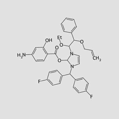 C=CCOC(c1ccccc1)C(OCC)N1C=CN(C(c2ccc(F)cc2)c2ccc(F)cc2)C1OC(=O)c1ccc(N)cc1O